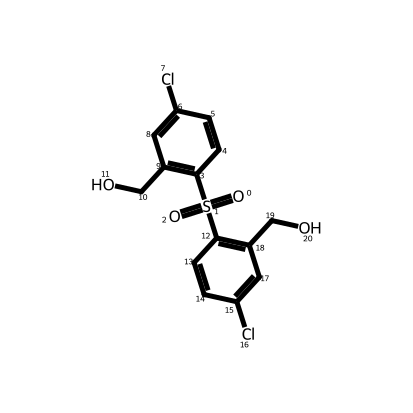 O=S(=O)(c1ccc(Cl)cc1CO)c1ccc(Cl)cc1CO